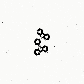 c1cc(-n2c3ccccc3c3ccccc32)cc(-n2c3ccccc3c3ccccc32)c1